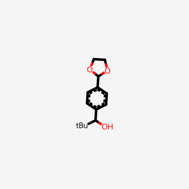 CC(C)(C)C(O)c1ccc(C2OCCO2)cc1